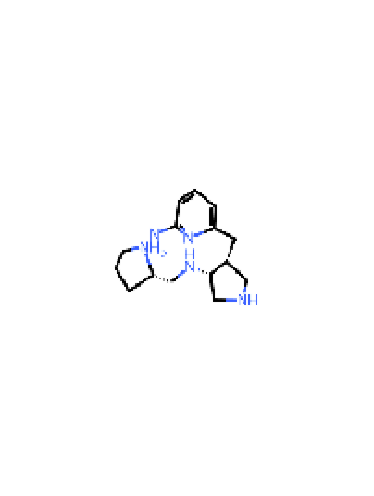 Nc1cccc(C[C@H]2CNC[C@@H]2NC[C@@H]2CCCN2)n1